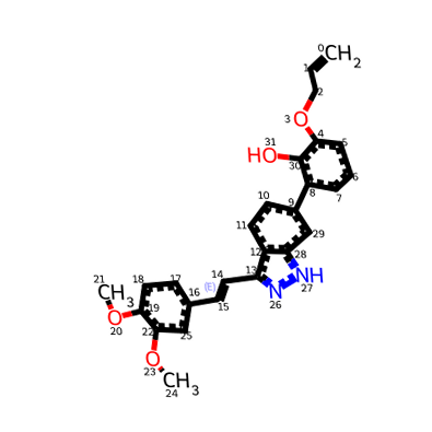 C=CCOc1cccc(-c2ccc3c(/C=C/c4ccc(OC)c(OC)c4)n[nH]c3c2)c1O